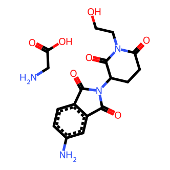 NCC(=O)O.Nc1ccc2c(c1)C(=O)N(C1CCC(=O)N(CCO)C1=O)C2=O